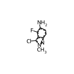 Cn1nc2ccc(N)c(F)c2c1Cl